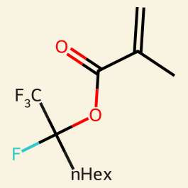 C=C(C)C(=O)OC(F)(CCCCCC)C(F)(F)F